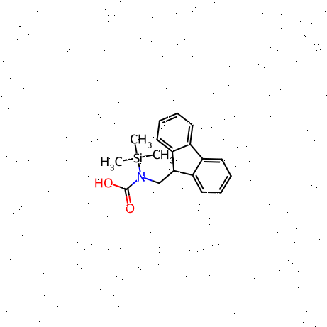 C[Si](C)(C)N(CC1c2ccccc2-c2ccccc21)C(=O)O